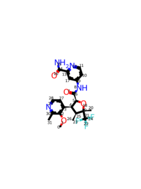 COc1c([C@H]2[C@@H](C(=O)Nc3ccnc(C(N)=O)c3)O[C@](C)(C(F)(F)F)[C@H]2C)ccnc1C